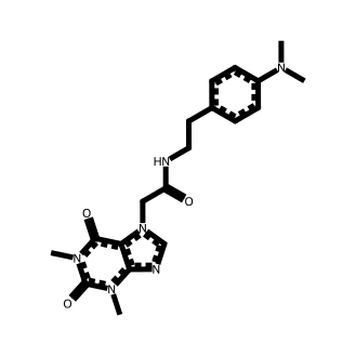 CN(C)c1ccc(CCNC(=O)Cn2cnc3c2c(=O)n(C)c(=O)n3C)cc1